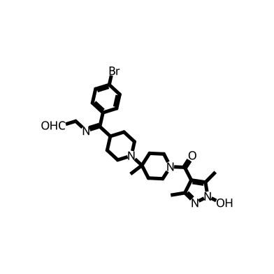 Cc1nn(O)c(C)c1C(=O)N1CCC(C)(N2CCC(/C(=N/CC=O)c3ccc(Br)cc3)CC2)CC1